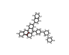 c1ccc(-c2cccc(-c3ccc(N(c4ccccc4)c4cc(-c5ccc6ccccc6c5)ccc4-c4ccc5ccccc5c4)cc3)c2)cc1